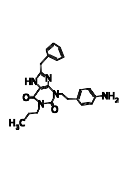 CCCn1c(=O)c2[nH]c(Cc3ccccc3)nc2n(CCc2ccc(N)cc2)c1=O